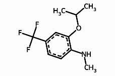 CNc1ccc(C(F)(F)F)cc1OC(C)C